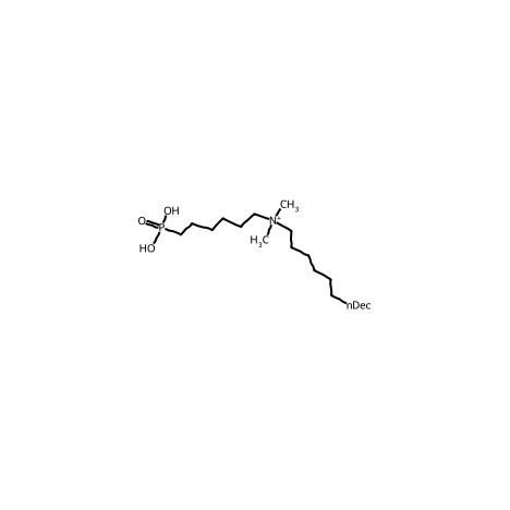 CCCCCCCCCCCCCCCC[N+](C)(C)CCCCCCP(=O)(O)O